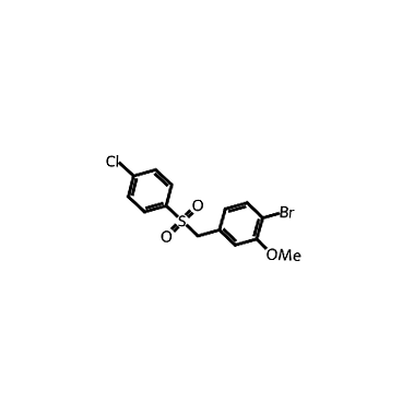 COc1cc(CS(=O)(=O)c2ccc(Cl)cc2)ccc1Br